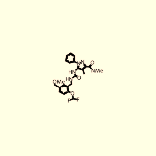 CNC(=O)c1nn(-c2ccccc2)c(NC(=O)NCc2cc(COC)ccc2OC(F)F)c1C